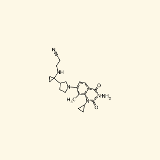 Cc1c(N2CCC(C3(NCCC#N)CC3)C2)ccc2c(=O)n(N)c(=O)n(C3CC3)c12